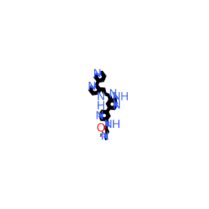 CN(C)CC(=O)Nc1cncc(-c2cnc3[nH]nc(-c4cc5c(-c6cccnc6)nccc5[nH]4)c3c2)c1